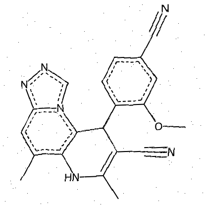 COc1cc(C#N)ccc1C1C(C#N)=C(C)Nc2c(C)cc3nncn3c21